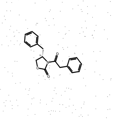 O=C(Cc1ccccc1)N1C(=O)OC[C@@H]1Cc1ccccc1